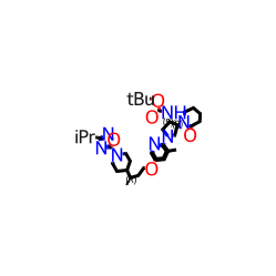 Cc1cc(OCC[C@@H](C)C2CCN(c3nc(C(C)C)no3)CC2)cnc1N1C[C@H](NC(=O)OC(C)(C)C)[C@H](N2CCCCC2=O)C1